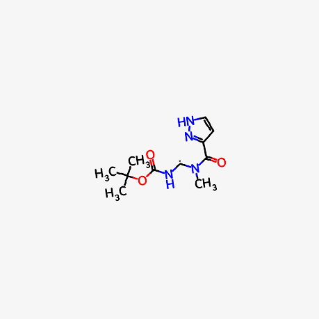 CN([CH]NC(=O)OC(C)(C)C)C(=O)c1cc[nH]n1